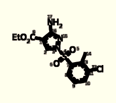 CCOC(=O)c1cn(S(=O)(=O)c2cccc(Cl)c2C)nc1N